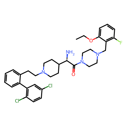 CCOc1cccc(F)c1CN1CCN(C(=O)[C@H](N)C2CCN(CCc3ccccc3-c3cc(Cl)ccc3Cl)CC2)CC1